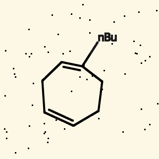 CCCCC1=CCC=CCC1